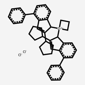 C1=C(C2CCCC2)[CH]([Zr+2]2([CH]3C(C4CCCC4)=Cc4c(-c5ccccc5)cccc43)[CH2]C[CH2]2)c2cccc(-c3ccccc3)c21.[Cl-].[Cl-]